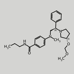 CCCNC(=O)c1ccc(N(C)C[C@@H](c2ccccc2)N2CC[C@H](OCOC)C2)cc1